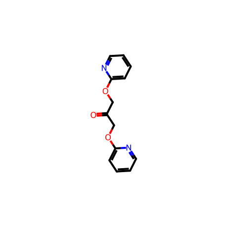 O=C(COc1ccccn1)COc1ccccn1